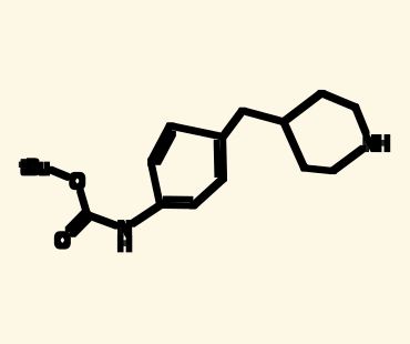 CC(C)(C)OC(=O)Nc1ccc(CC2CCNCC2)cc1